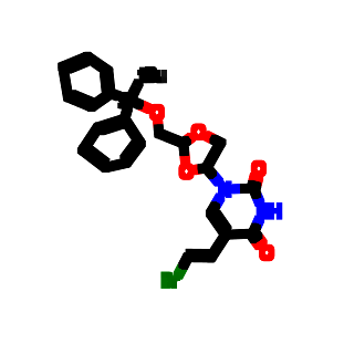 CC(C)(C)[Si](OCC1OCC(n2cc(/C=C/Br)c(=O)[nH]c2=O)O1)(c1ccccc1)c1ccccc1